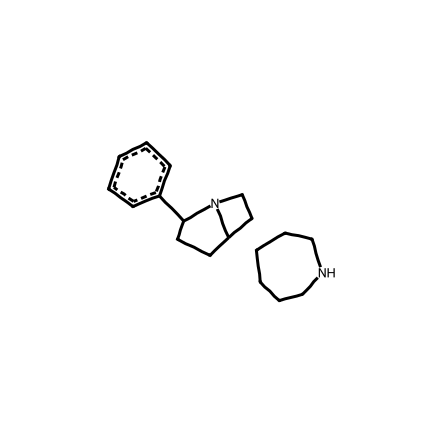 C1CCCNCC1.c1ccc(C2CCC3CCN32)cc1